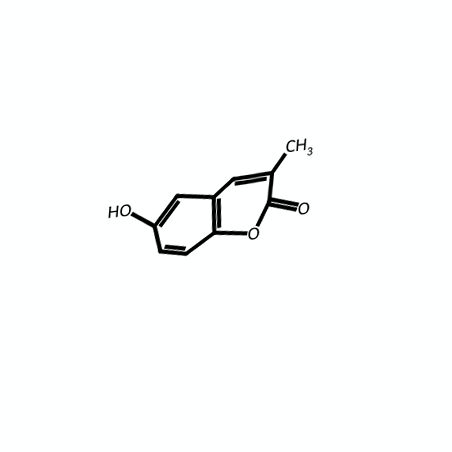 Cc1cc2cc(O)ccc2oc1=O